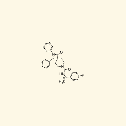 C[C@H](NC(=O)N1CCC2(CC1)C(=O)N(c1cncnc1)C2c1ccccc1)c1ccc(F)cc1